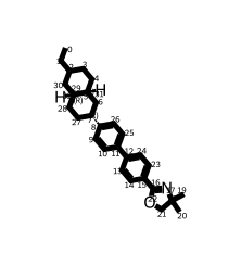 CCC1CC[C@@H]2C[C@H](c3ccc(-c4ccc(C5=NC(C)(C)CO5)cc4)cc3)CC[C@@H]2C1